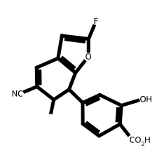 CC1C(C#N)=Cc2cc(F)oc2C1c1ccc(C(=O)O)c(O)c1